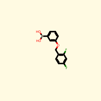 OB(O)c1cccc(OCc2ccc(F)cc2F)c1